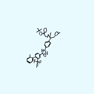 COCC(c1ccc(-c2noc(-c3ccc(-c4ccccc4C)c(C(F)(F)F)c3)n2)cc1)N(C)CC(=O)OC(C)(C)C